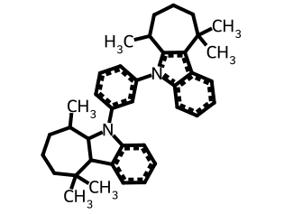 CC1CCCC(C)(C)c2c1n(-c1cccc(N3c4ccccc4C4C3C(C)CCCC4(C)C)c1)c1ccccc21